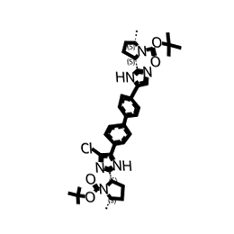 C[C@H]1CC[C@@H](c2ncc(-c3ccc(-c4ccc(-c5[nH]c([C@@H]6CC[C@H](C)N6C(=O)OC(C)(C)C)nc5Cl)cc4)cc3)[nH]2)N1C(=O)OC(C)(C)C